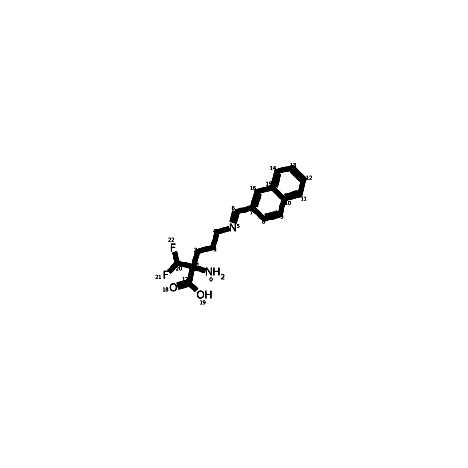 NC(CCC/N=C/c1ccc2ccccc2c1)(C(=O)O)C(F)F